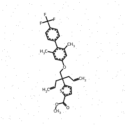 C=CCC(CC=C)(COc1cc(C)c(-c2ccc(C(F)(F)F)cc2)c(C)c1)c1ccc(C(=O)OC)s1